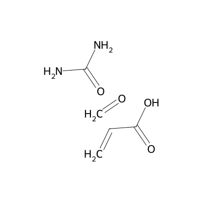 C=CC(=O)O.C=O.NC(N)=O